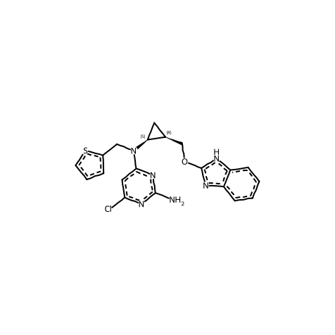 Nc1nc(Cl)cc(N(Cc2cccs2)[C@H]2C[C@H]2COc2nc3ccccc3[nH]2)n1